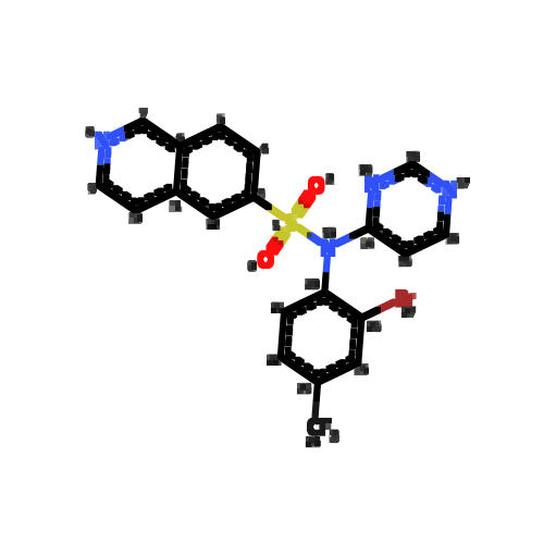 O=S(=O)(c1ccc2cnccc2c1)N(c1ccncn1)c1ccc(C(F)(F)F)cc1Br